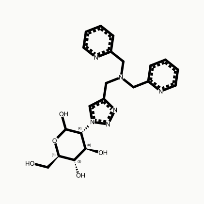 OC[C@H]1OC(O)[C@H](n2cc(CN(Cc3ccccn3)Cc3ccccn3)nn2)[C@@H](O)[C@@H]1O